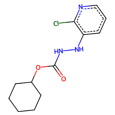 O=C(NNc1cccnc1Cl)OC1CCCCC1